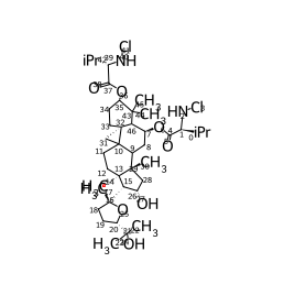 CC(C)[C@H](NCl)C(=O)O[C@H]1CC2C3(CC[C@]4(C)[C@@H]([C@@]5(C)CC[C@@H](C(C)(C)O)O5)[C@@H](O)C[C@@]24C)C[C@@]32CC[C@H](OC(=O)[C@@H](NCl)C(C)C)C(C)(C)C12